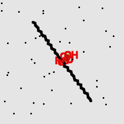 CCCCCCCCCCCCCCCCCCOCCCCCCCCCCCCCCCCCC.O=S(=O)(O)O